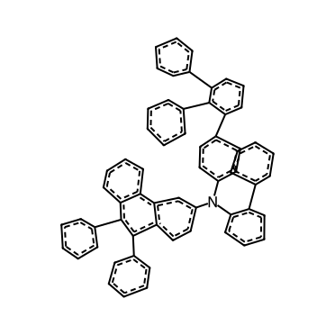 c1ccc(-c2ccccc2N(c2ccc(-c3cccc(-c4ccccc4)c3-c3ccccc3)cc2)c2ccc3c(-c4ccccc4)c(-c4ccccc4)c4ccccc4c3c2)cc1